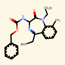 CCOC(=O)CN1C(=O)C(NC(=O)OCc2ccccc2)N=C(CSC)c2cccc(C)c21